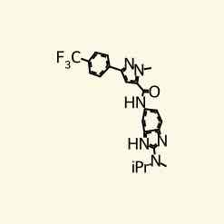 CC(C)N(C)c1nc2ccc(NC(=O)c3cc(-c4ccc(C(F)(F)F)cc4)nn3C)cc2[nH]1